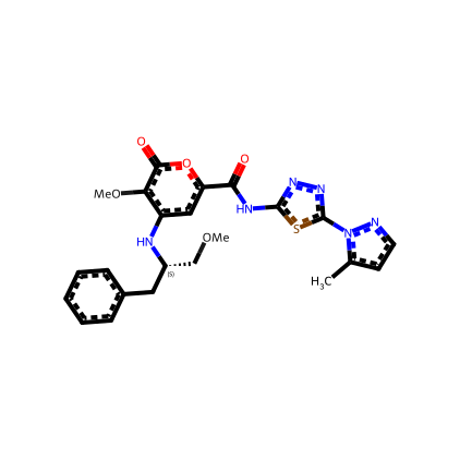 COC[C@H](Cc1ccccc1)Nc1cc(C(=O)Nc2nnc(-n3nccc3C)s2)oc(=O)c1OC